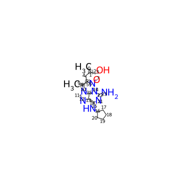 C[C@H](CO)C[C@@H](N=O)[C@@H](C)n1cnc2c(NC3CCCC3)nc(N)nc21